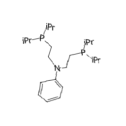 CC(C)P(CCN(CCP(C(C)C)C(C)C)c1ccccc1)C(C)C